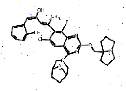 C/C(=C\C(O)=C/c1ccccc1C)c1c(Cl)cc2c(N3CC4CCC(C3)N4)nc(OCC34CCCN3CCC4)nc2c1F